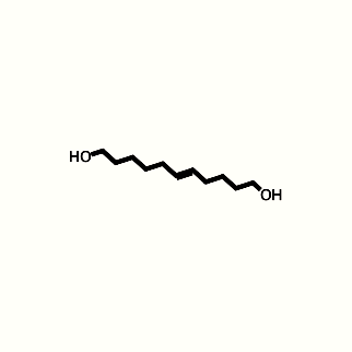 OCCCCC=CCCCCCO